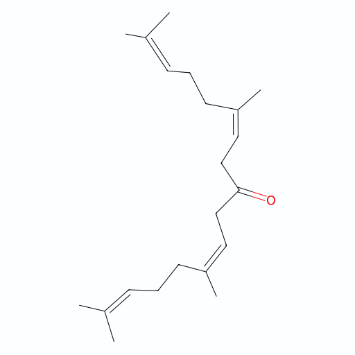 CC(C)=CCC/C(C)=C\CC(=O)C/C=C(/C)CCC=C(C)C